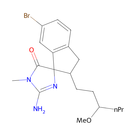 CCCC(CCC1Cc2ccc(Br)cc2C12N=C(N)N(C)C2=O)OC